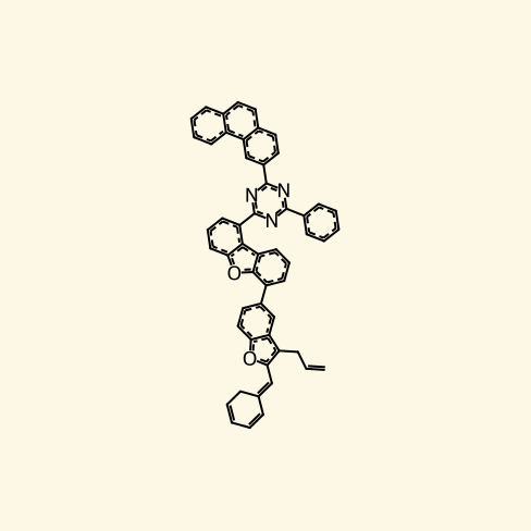 C=CCc1c(/C=C2/C=CC=CC2)oc2ccc(-c3cccc4c3oc3cccc(-c5nc(-c6ccccc6)nc(-c6ccc7ccc8ccccc8c7c6)n5)c34)cc12